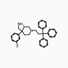 NCC1(c2cccc(F)c2)CCN(CCC(c2ccccc2)(c2ccccc2)c2ccccc2)CC1